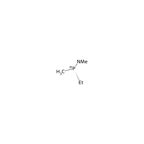 CC[P@](C)NC